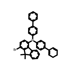 CC1(C)c2ccccc2-c2c(N(c3ccc(C4=CCCC=C4)cc3)c3ccc(-c4ccccc4)cc3)ccc(Br)c21